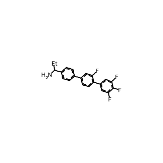 CCC(N)c1ccc(-c2ccc(-c3cc(F)c(F)c(F)c3)c(F)c2)cc1